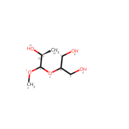 COC(OC(CO)CO)[C@H](C)O